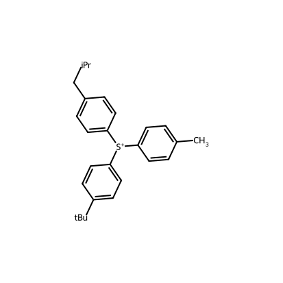 Cc1ccc([S+](c2ccc(CC(C)C)cc2)c2ccc(C(C)(C)C)cc2)cc1